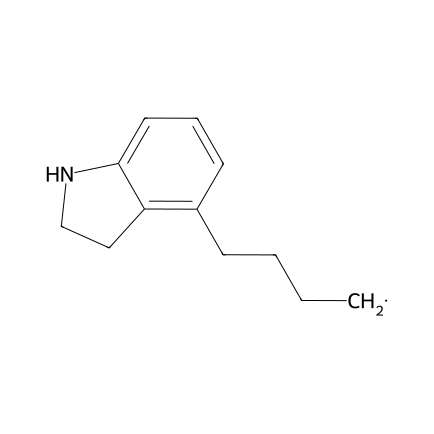 [CH2]CCCc1cccc2c1CCN2